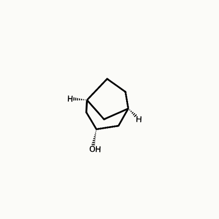 O[C@@H]1C[C@H]2CC[C@@H](C1)C2